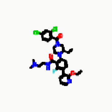 CCOc1ncccc1-c1ccc(N2CCN(C(=O)c3ccc(Cl)cc3Cl)C[C@H]2CC)c(C(=O)NCCN(C)C)c1F